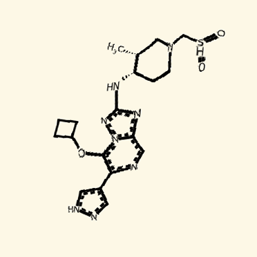 C[C@@H]1CN(C[SH](=O)=O)CC[C@@H]1Nc1nc2cnc(-c3cn[nH]c3)c(OC3CCC3)n2n1